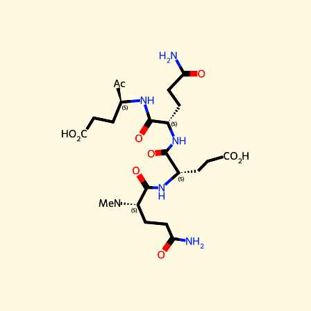 CN[C@@H](CCC(N)=O)C(=O)N[C@@H](CCC(=O)O)C(=O)N[C@@H](CCC(N)=O)C(=O)N[C@@H](CCC(=O)O)C(C)=O